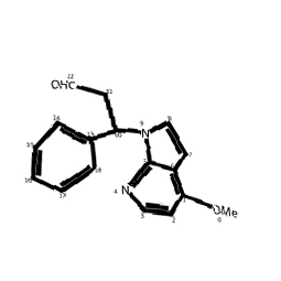 COc1ccnc2c1ccn2C(CC=O)c1ccccc1